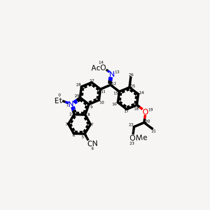 CCn1c2ccc(C#N)cc2c2cc(/C(=N\OC(C)=O)c3ccc(OC(C)COC)cc3C)ccc21